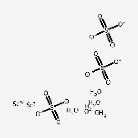 O.O.O.O.O.O=S(=O)([O-])[O-].O=S(=O)([O-])[O-].O=S(=O)([O-])[O-].[Sc+3].[Sc+3]